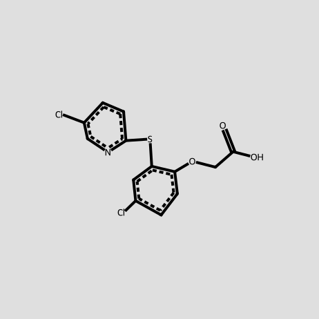 O=C(O)COc1ccc(Cl)cc1Sc1ccc(Cl)cn1